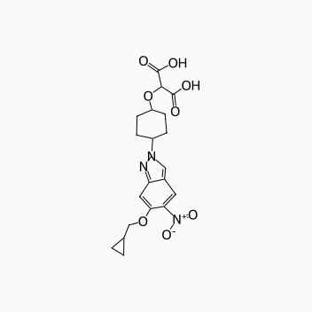 O=C(O)C(OC1CCC(n2cc3cc([N+](=O)[O-])c(OCC4CC4)cc3n2)CC1)C(=O)O